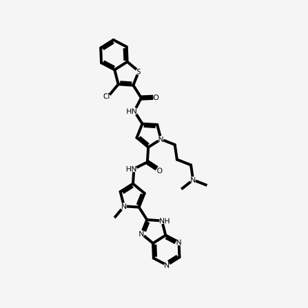 CN(C)CCCn1cc(NC(=O)c2sc3ccccc3c2Cl)cc1C(=O)Nc1cc(-c2nc3cncnc3[nH]2)n(C)c1